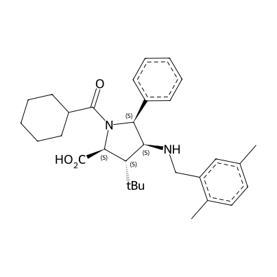 Cc1ccc(C)c(CN[C@H]2[C@H](C(C)(C)C)[C@@H](C(=O)O)N(C(=O)C3CCCCC3)[C@H]2c2ccccc2)c1